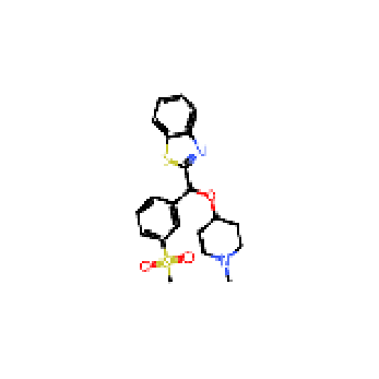 CN1CCC(OC(c2cccc(S(C)(=O)=O)c2)c2nc3ccccc3s2)CC1